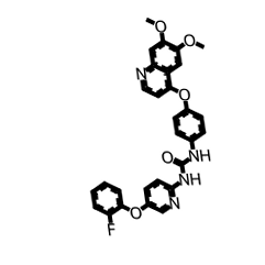 COc1cc2nccc(Oc3ccc(NC(=O)Nc4ccc(Oc5ccccc5F)cn4)cc3)c2cc1OC